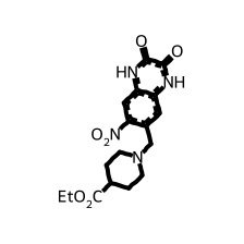 CCOC(=O)C1CCN(Cc2cc3[nH]c(=O)c(=O)[nH]c3cc2[N+](=O)[O-])CC1